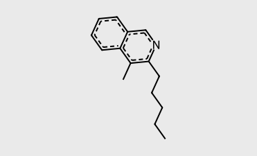 CCCCCc1ncc2ccccc2c1C